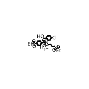 CCS(=O)(=O)CCC[C@@H](C)N(c1cc(Cl)ccc1CO)S(=O)(=O)c1ccc(S(=O)(=O)CC)cc1